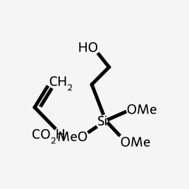 C=CC(=O)O.CO[Si](CCO)(OC)OC